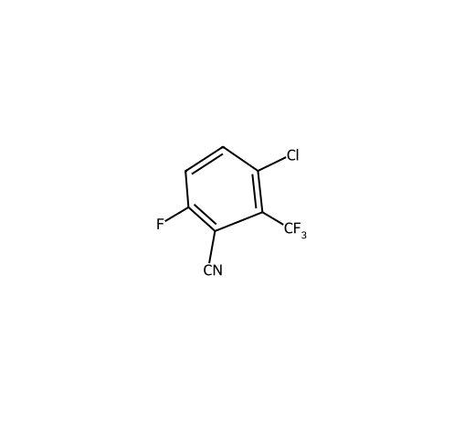 N#Cc1c(F)ccc(Cl)c1C(F)(F)F